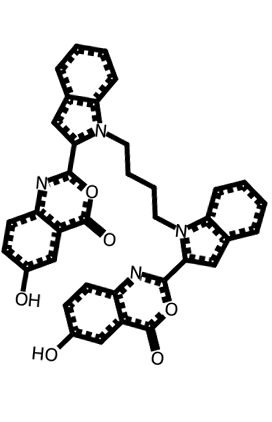 O=c1oc(-c2cc3ccccc3n2CCCCn2c(-c3nc4ccc(O)cc4c(=O)o3)cc3ccccc32)nc2ccc(O)cc12